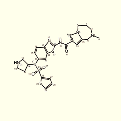 CN1CCCn2nc(C(=O)Nc3nc4ccc(N(C5CCNC5)S(=O)(=O)c5cccs5)cc4s3)cc2C1